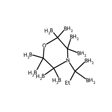 BC(B)(CC)N1C(B)(B)C(B)(B)OC(B)(B)C1(B)B